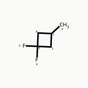 CC1CC(F)(F)C1